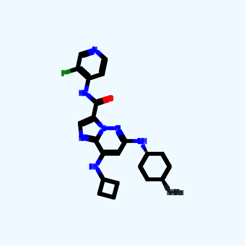 CC(=O)N[C@H]1CC[C@H](Nc2cc(NC3CCC3)c3ncc(C(=O)Nc4ccncc4F)n3n2)CC1